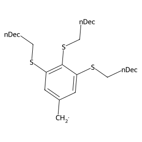 [CH2]c1cc(SCCCCCCCCCCC)c(SCCCCCCCCCCC)c(SCCCCCCCCCCC)c1